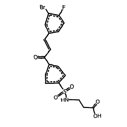 O=C(O)CCNS(=O)(=O)c1ccc(C(=O)/C=C/c2ccc(F)c(Br)c2)cc1